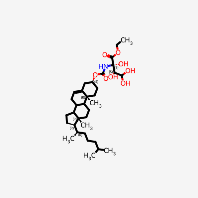 CCOC(=O)[C@](O)(NC(=O)O[C@H]1CC[C@@]2(C)C(=CCC3C2CC[C@@]2(C)C3CC[C@@H]2[C@H](C)CCCC(C)C)C1)[C@H](O)C(O)O